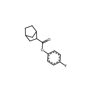 O=C(Oc1ccc(F)cc1)C1CC2C[CH]C1C2